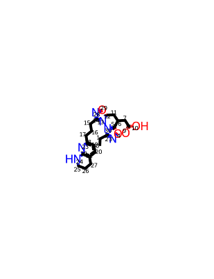 CCc1noc(C(CC(=O)O)Cc2nc(CCCc3ccc4c(n3)NCCC4)no2)n1